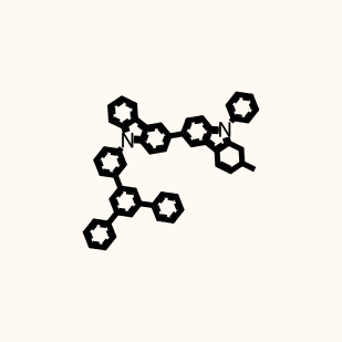 CC1C=Cc2c(n(-c3ccccc3)c3ccc(-c4ccc5c(c4)c4ccccc4n5-c4cccc(-c5cc(-c6ccccc6)cc(-c6ccccc6)c5)c4)cc23)C1